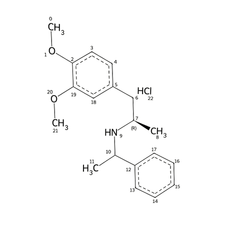 COc1ccc(C[C@@H](C)NC(C)c2ccccc2)cc1OC.Cl